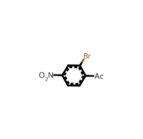 CC(=O)c1ccc([N+](=O)[O-])cc1Br